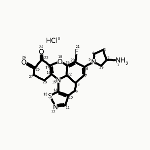 Cl.NC1CCN(C2=CC3Cc4cnsc4N4C5=C(OC(=C2F)C34)C(=O)C(=O)CC5)C1